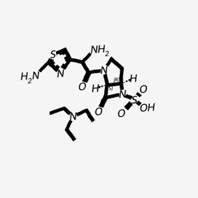 CCN(CC)CC.Nc1nc(C(N)C(=O)N2CC[C@@H]3[C@H]2C(=O)N3S(=O)(=O)O)cs1